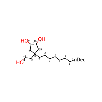 CCCCCCCCCCCCCCCCCC(CCO)(CCO)CCO